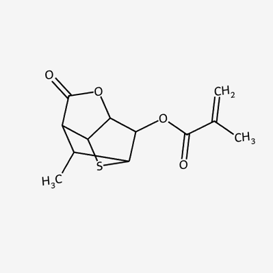 C=C(C)C(=O)OC1C2OC(=O)C3C(C)C1SC23